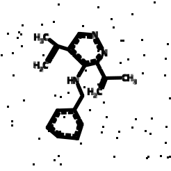 C=C(C)c1cnnc(C(=C)C)c1NCc1ccccc1